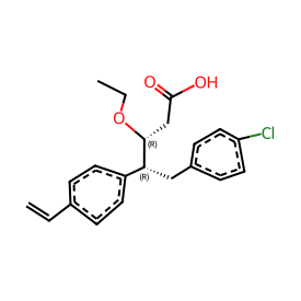 C=Cc1ccc([C@@H](Cc2ccc(Cl)cc2)[C@@H](CC(=O)O)OCC)cc1